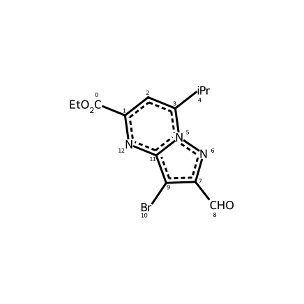 CCOC(=O)c1cc(C(C)C)n2nc(C=O)c(Br)c2n1